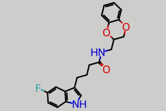 O=C(CCCc1c[nH]c2ccc(F)cc12)NCC1COc2ccccc2O1